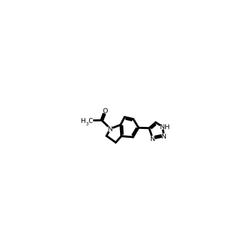 CC(=O)N1CCc2cc(-c3c[nH]nn3)ccc21